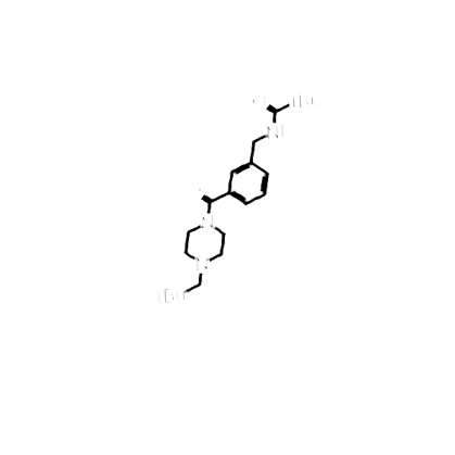 CC(C)(C)CN1CCN(C(=O)c2cccc(CNC(=O)C(C)(C)C)c2)CC1